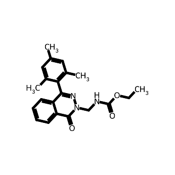 CCOC(=O)NCn1nc(-c2c(C)cc(C)cc2C)c2ccccc2c1=O